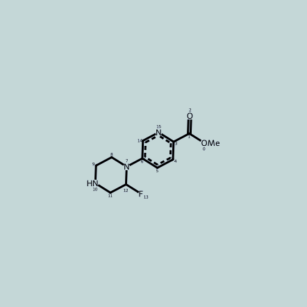 COC(=O)c1ccc(N2CCNCC2F)cn1